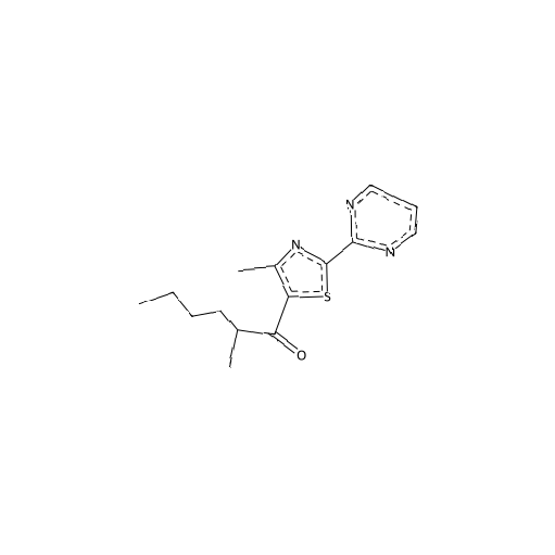 CCCCC(C)C(=O)c1sc(-c2ncccn2)nc1C